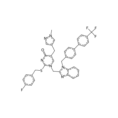 Cn1cc(Cc2cn(Cc3nc4ccccc4n3Cc3ccc(-c4ccc(C(F)(F)F)cc4)cc3)c(SCc3ccc(F)cc3)nc2=O)cn1